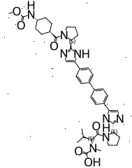 COC(=O)N[C@H]1CC[C@H](C(=O)N2CCC[C@H]2c2ncc(-c3ccc(-c4ccc(-c5cnc([C@@H]6CCCN6C(=O)[C@H](C(C)C)N(C)C(=O)O)[nH]5)cc4)cc3)[nH]2)CC1